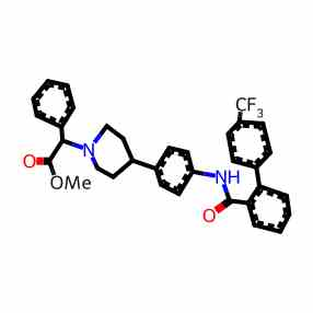 COC(=O)C(c1ccccc1)N1CCC(c2ccc(NC(=O)c3ccccc3-c3ccc(C(F)(F)F)cc3)cc2)CC1